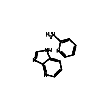 Nc1ccccn1.c1cnc2nc[nH]c2c1